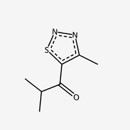 Cc1nnsc1C(=O)C(C)C